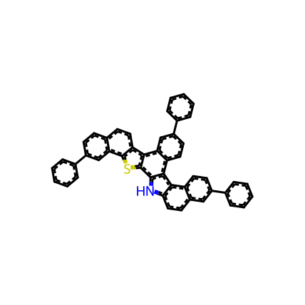 c1ccc(-c2ccc3c(ccc4[nH]c5c6sc7c8cc(-c9ccccc9)ccc8ccc7c6c6cc(-c7ccccc7)ccc6c5c43)c2)cc1